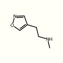 CNCCc1cnoc1